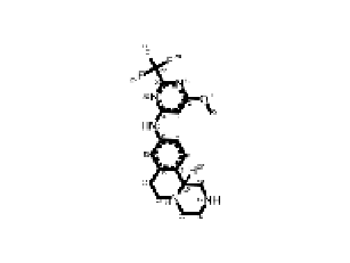 COc1cc(Nc2ccc3c(c2)CCN2CCNC[C@@H]32)nc(C(F)(F)F)n1